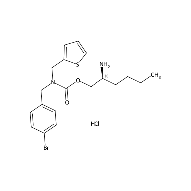 CCCC[C@H](N)COC(=O)N(Cc1ccc(Br)cc1)Cc1cccs1.Cl